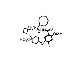 COc1cc(F)c(OC2CCC(C)(C(=O)O)CC2)cc1C(=O)N[C@H]1CCCCCCC1C(=O)NCC1(C)CCC1